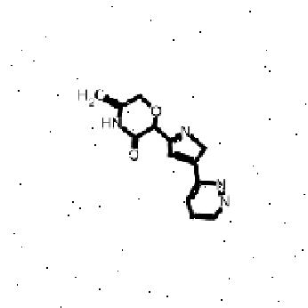 C=C1COC(C2=NCC(c3cccnn3)=C2)C(=O)N1